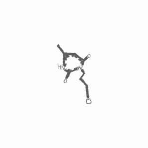 Cc1cc(=O)n(CCCCl)c(=O)[nH]1